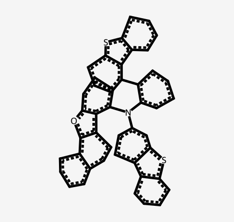 c1ccc(N(c2ccc3c(c2)sc2ccccc23)c2cccc3oc4c5ccccc5ccc4c23)c(-c2cccc3sc4ccccc4c23)c1